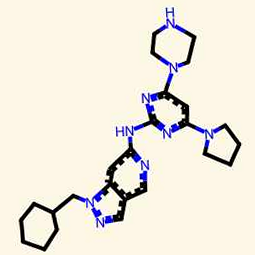 c1c(N2CCCC2)nc(Nc2cc3c(cn2)cnn3CC2CCCCC2)nc1N1CCNCC1